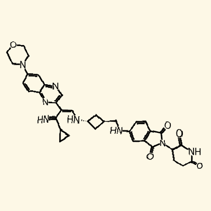 N=C(/C(=C\N[C@H]1C[C@H](CNc2ccc3c(c2)C(=O)N(C2CCC(=O)NC2=O)C3=O)C1)c1cnc2cc(N3CCOCC3)ccc2n1)C1CC1